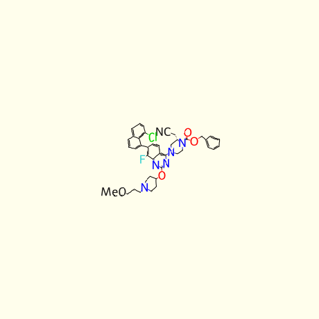 COCCCN1CCC(Oc2nc(N3CCN(C(=O)OCc4ccccc4)[C@@H](CC#N)C3)c3ccc(-c4cccc5cccc(Cl)c45)c(F)c3n2)CC1